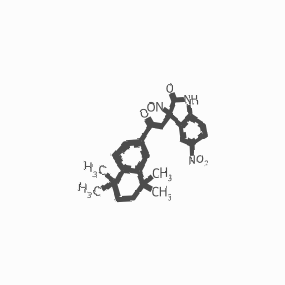 CC1(C)CCC(C)(C)c2cc(C(=O)CC3(N=O)C(=O)Nc4ccc([N+](=O)[O-])cc43)ccc21